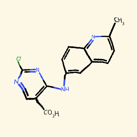 Cc1ccc2cc(Nc3nc(Cl)ncc3C(=O)O)ccc2n1